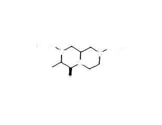 CC1C(=O)N2CCN(C(=O)O)CC2CN1C(=O)O